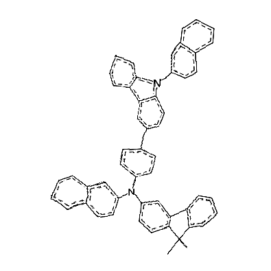 CC1(C)c2ccccc2-c2cc(N(c3ccc(-c4ccc5c(c4)c4ccccc4n5-c4ccc5ccccc5c4)cc3)c3ccc4ccccc4c3)ccc21